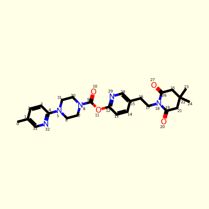 Cc1ccc(N2CCN(C(=O)Oc3ccc(CCN4C(=O)CC(C)(C)CC4=O)cn3)CC2)nc1